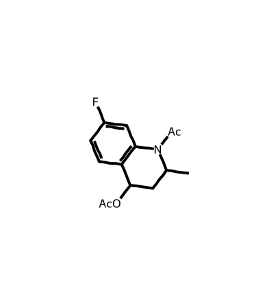 CC(=O)OC1CC(C)N(C(C)=O)c2cc(F)ccc21